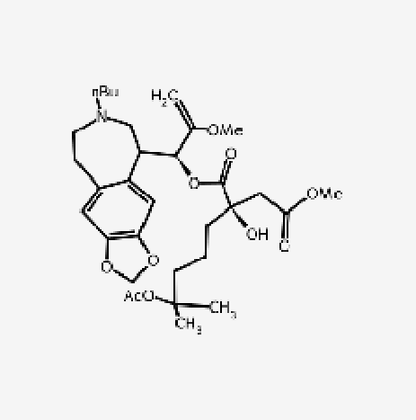 C=C(OC)[C@@H](OC(=O)[C@@](O)(CCCC(C)(C)OC(C)=O)CC(=O)OC)C1CN(CCCC)CCc2cc3c(cc21)OCO3